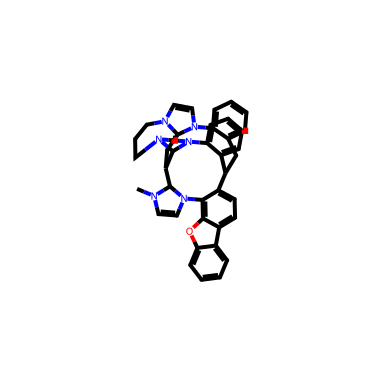 CN1C=CN2c3c(ccc4c3oc3ccccc34)C3Cc4ccccc4N4C=CN5CCCN6C=CN(c7ccccc73)C6C(CC54)C12